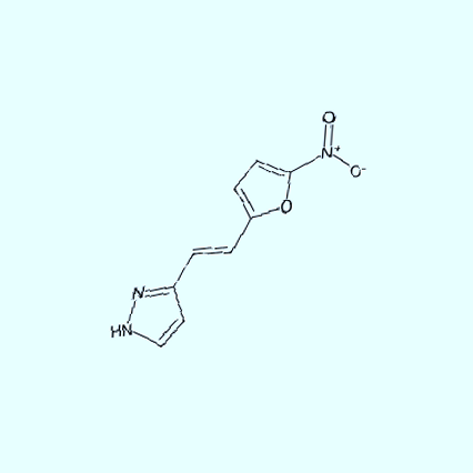 O=[N+]([O-])c1ccc(/C=C/c2cc[nH]n2)o1